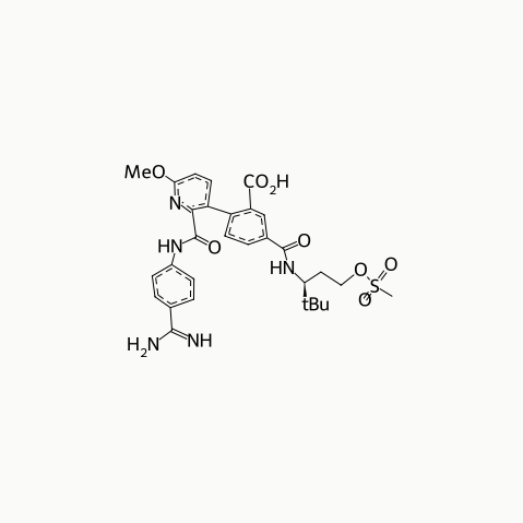 COc1ccc(-c2ccc(C(=O)N[C@@H](CCOS(C)(=O)=O)C(C)(C)C)cc2C(=O)O)c(C(=O)Nc2ccc(C(=N)N)cc2)n1